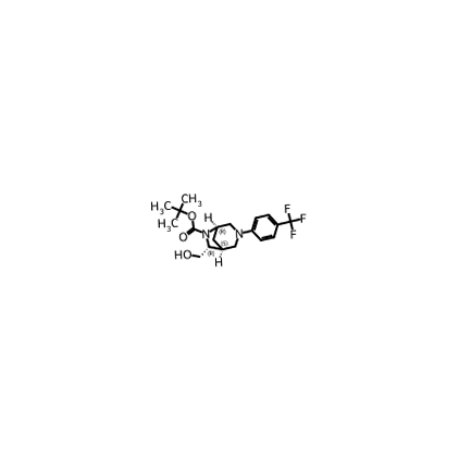 CC(C)(C)OC(=O)N1[C@@H]2C[C@@H](CN(c3ccc(C(F)(F)F)cc3)C2)[C@@H]1CO